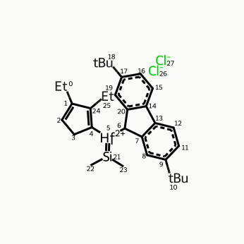 CCC1=CC[C]([Hf+2]([CH]2c3cc(C(C)(C)C)ccc3-c3ccc(C(C)(C)C)cc32)=[Si](C)C)=C1CC.[Cl-].[Cl-]